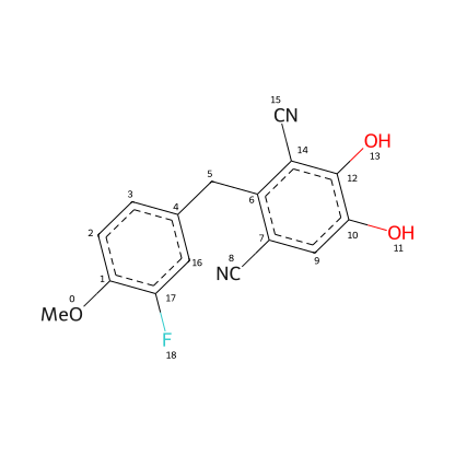 COc1ccc(Cc2c(C#N)cc(O)c(O)c2C#N)cc1F